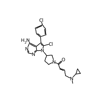 CN(CC=CC(=O)N1CCC(n2c(Cl)c(-c3ccc(Cl)cc3)c3c(N)ncnc32)C1)C1CC1